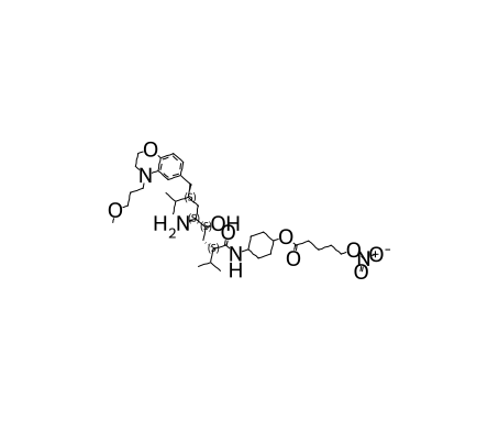 COCCCN1CCOc2ccc(C[C@@H](C[C@H](N)[C@@H](O)C[C@H](C(=O)NC3CCC(OC(=O)CCCCO[N+](=O)[O-])CC3)C(C)C)C(C)C)cc21